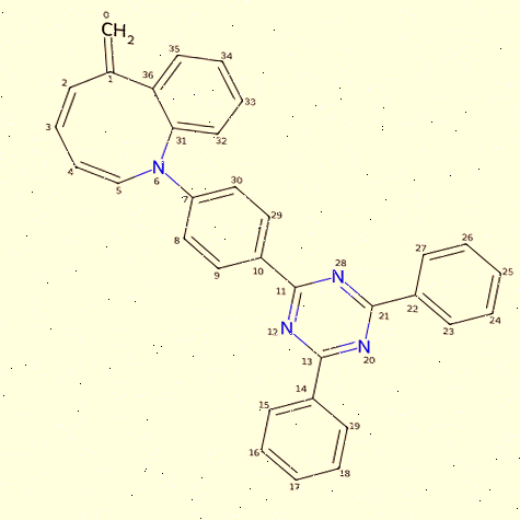 C=C1/C=C\C=C/N(c2ccc(-c3nc(-c4ccccc4)nc(-c4ccccc4)n3)cc2)c2ccccc21